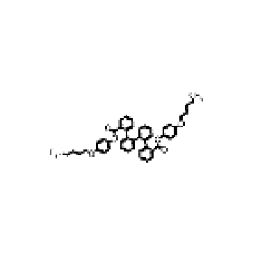 O=C(Oc1ccc(OCCCCC(F)(F)F)cc1)c1ccccc1-c1ccccc1-c1ccccc1-c1ccccc1C(=O)Oc1ccc(OCCCCC(F)(F)F)cc1